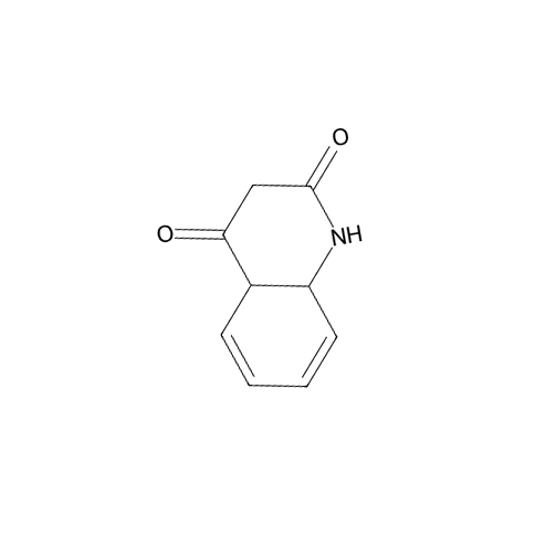 O=C1CC(=O)C2C=CC=CC2N1